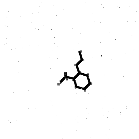 CCCC1CCCCC1NI